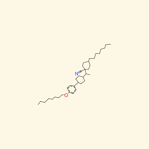 CCCCCCCCOc1ccc(C2CCC(C(C)C3(C#N)CCC(CCCCCCCC)CC3)CC2)cc1